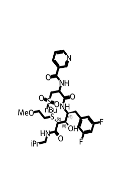 CCCCS(=O)(=O)CC(NC(=O)c1cccnc1)C(=O)N[C@@H](Cc1cc(F)cc(F)c1)[C@@H](O)[C@@H](SCCOC)C(=O)NCC(C)C